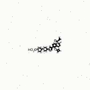 C[C@H]1CCc2c(ccc(-c3cnn(C4CCN(C5CCN(C(=O)O)CC5)CC4)c3)c2OC2CCC2)N1C(=O)C1CC1